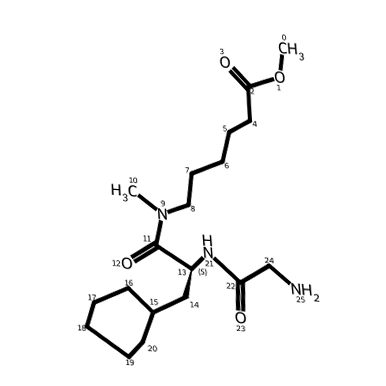 COC(=O)CCCCCN(C)C(=O)[C@H](CC1CCCCC1)NC(=O)CN